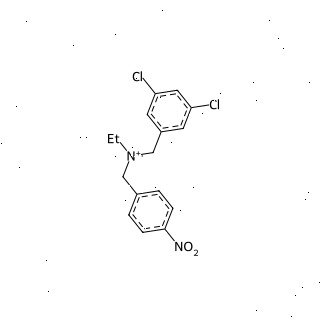 CC[N+](Cc1ccc([N+](=O)[O-])cc1)Cc1cc(Cl)cc(Cl)c1